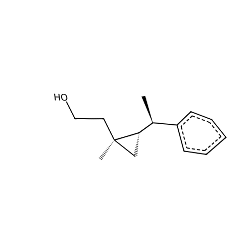 C[C@@H](c1ccccc1)[C@@H]1C[C@@]1(C)CCO